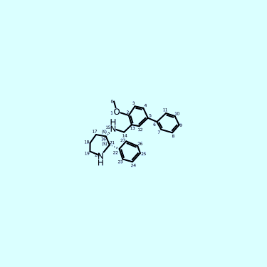 COc1ccc(-c2ccccc2)cc1CN[C@H]1CCCN[C@H]1c1ccccc1